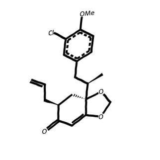 C=CC[C@H]1C[C@]2([C@H](C)Cc3ccc(OC)c(Cl)c3)OCOC2=CC1=O